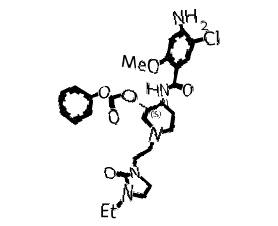 CCN1CCN(CCN2CC[C@@H](NC(=O)c3cc(Cl)c(N)cc3OC)[C@@H](OC(=O)Oc3ccccc3)C2)C1=O